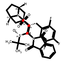 CC(C)(C)[S@+]([O-])N[C@@H](Cc1cc(F)c(F)cc1F)[C@@H]1C[C@H]2CC[C@@H](C1)N2S(=O)(=O)CCN1C(=O)c2ccccc2C1=O